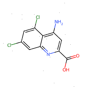 Nc1cc(C(=O)O)nc2cc(Cl)cc(Cl)c12